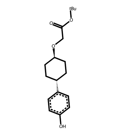 CC(C)(C)OC(=O)CO[C@H]1CC[C@H](c2ccc(O)cc2)CC1